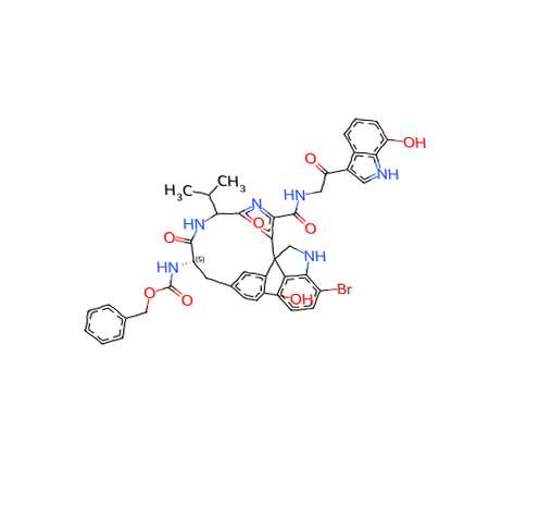 CC(C)C1NC(=O)[C@@H](NC(=O)OCc2ccccc2)Cc2ccc(O)c(c2)C2(CNc3c(Br)cccc32)c2oc1nc2C(=O)NCC(=O)c1c[nH]c2c(O)cccc12